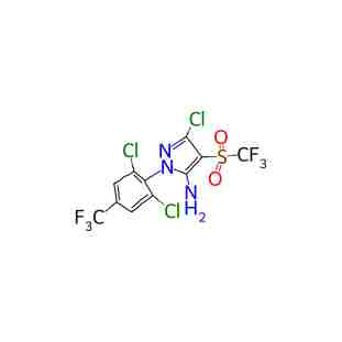 Nc1c(S(=O)(=O)C(F)(F)F)c(Cl)nn1-c1c(Cl)cc(C(F)(F)F)cc1Cl